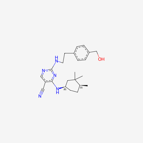 C[C@H]1CC[C@@H](Nc2nc(NCCc3ccc(CO)cc3)ncc2C#N)CC1(C)C